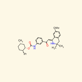 COc1ccc2c(c1)C(=CC(=O)c1cccc(NC(=O)O[C@H]3C[C@@H](C)CC[C@@H]3C(C)C)c1)NC(C)(C)C2